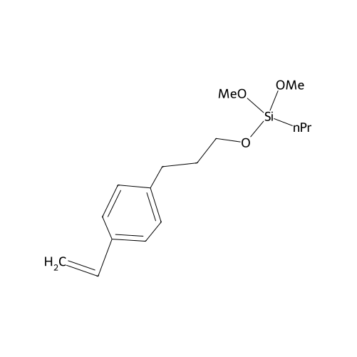 C=Cc1ccc(CCCO[Si](CCC)(OC)OC)cc1